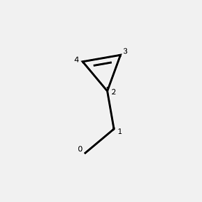 CC[C]1C=C1